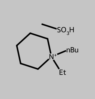 CCCC[N+]1(CC)CCCCC1.CS(=O)(=O)O